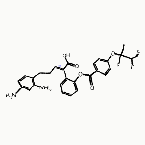 Nc1ccc(CC/C=C(/C(=O)O)c2ccccc2OC(=O)c2ccc(OC(F)(F)C(F)F)cc2)c(N)c1